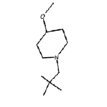 COC1CCN(CC(C)(C)C)CC1